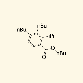 CCCCOC(=O)c1ccc(CCCC)c(CCCC)c1C(C)C